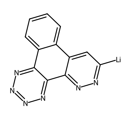 [Li][c]1cc2c3ccccc3c3nnnnc3c2nn1